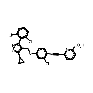 O=C(O)c1cccc(C#Cc2ccc(OCc3c(-c4c(Cl)cccc4Cl)noc3C3CC3)cc2Cl)n1